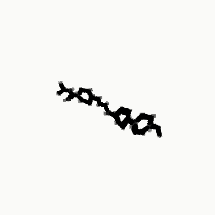 CCN1CCN(c2ccc(OCCCC3CCN(C(=O)OC(C)C)CC3)cc2)CC1